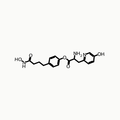 NC(Cc1ccc(O)cn1)C(=O)Oc1ccc(CCCC(=O)NO)cc1